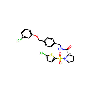 O=C(NCc1ccc(COc2cccc(Cl)c2)cc1)[C@@H]1CCCN1S(=O)(=O)c1ccc(Cl)s1